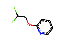 FC(F)COc1ccc[c]n1